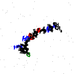 CN(C)C1CN(CCCOc2ccc(S(=O)(=O)NCCCc3c[nH]c4ccc(Cl)cc34)cc2)C1